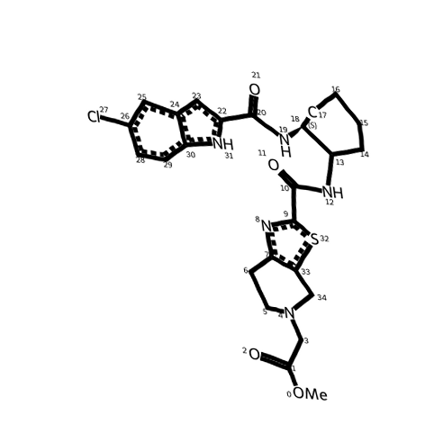 COC(=O)CN1CCc2nc(C(=O)NC3CCCC[C@@H]3NC(=O)c3cc4cc(Cl)ccc4[nH]3)sc2C1